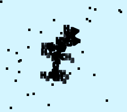 Cc1nn(COCC[Si](C)(C)C)c(C)c1-c1ccc(NC(=O)[C@@H](N)C(C2CC2)C2CC2)nc1Cl.Cl